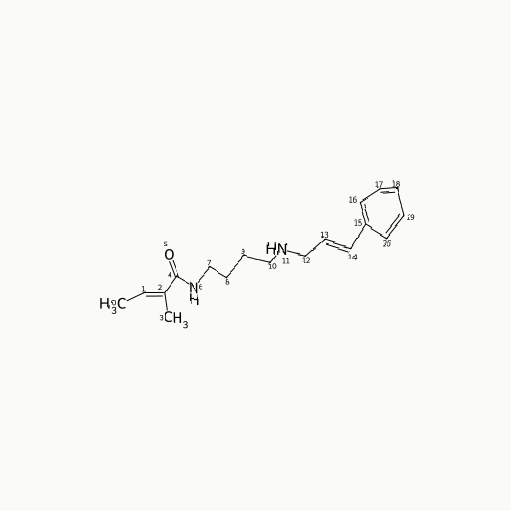 C/C=C(\C)C(=O)NCCCCNCC=Cc1ccccc1